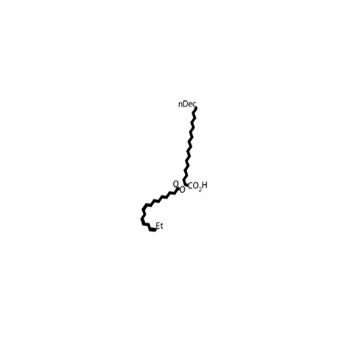 CC/C=C\C/C=C\C/C=C\CCCCCCCC(=O)OC(CCCCCCCCCCCCCCCCCCCCCCCCCC)C(=O)O